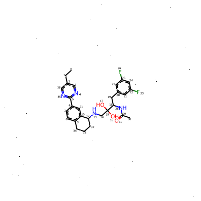 CCc1cnc(-c2ccc3c(c2)C(NCC(O)(O)C(Cc2cc(F)cc(F)c2)NC(C)=O)CCC3)nc1